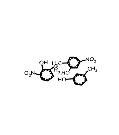 Cc1ccc([N+](=O)[O-])cc1O.Cc1cccc(O)c1.Cc1cccc([N+](=O)[O-])c1O